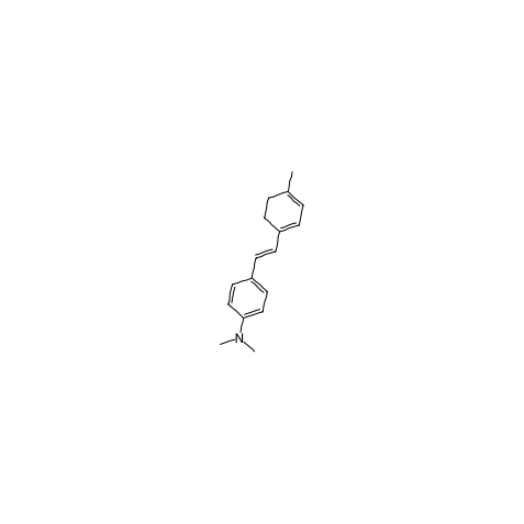 CC1=CC=C(/C=C/c2ccc(N(C)C)cc2)CC1